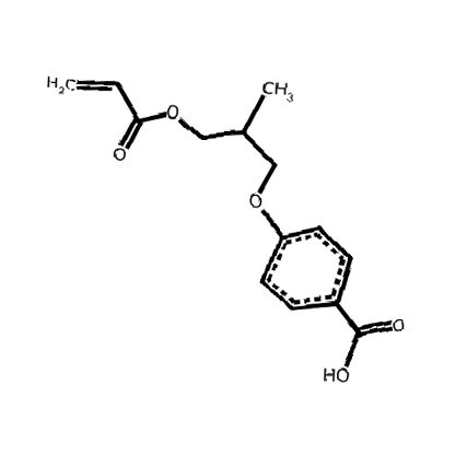 C=CC(=O)OCC(C)COc1ccc(C(=O)O)cc1